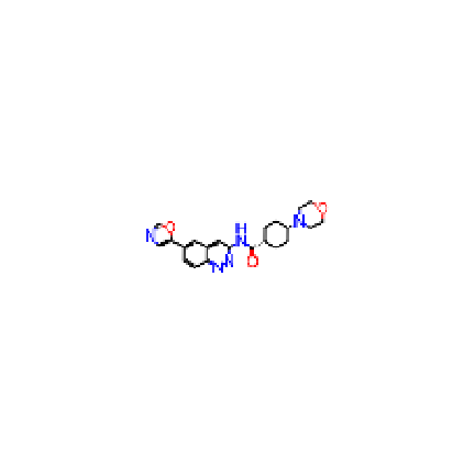 O=C(Nc1cc2cc(-c3cnco3)ccc2nn1)[C@H]1CC[C@@H](N2CCOCC2)CC1